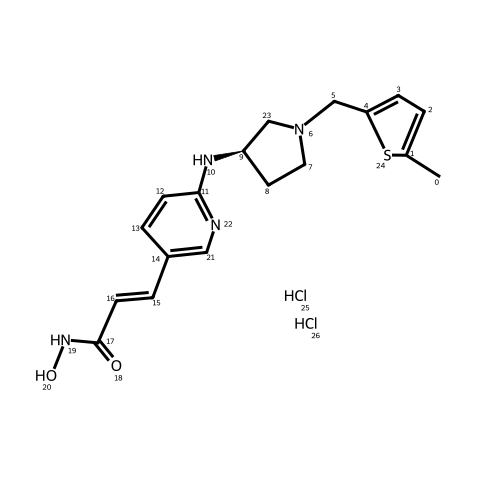 Cc1ccc(CN2CC[C@@H](Nc3ccc(C=CC(=O)NO)cn3)C2)s1.Cl.Cl